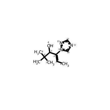 C/C=C(/C(O)C(C)(C)C)n1cncn1